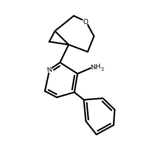 Nc1c(-c2ccccc2)ccnc1C12CCOCC1C2